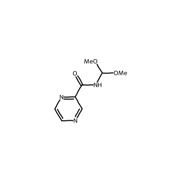 COC(NC(=O)c1cnccn1)OC